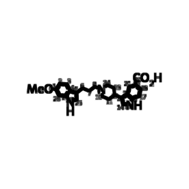 COc1ccc2c(CCCN3CCC(c4c[nH]c5ccc(C(=O)O)cc45)CC3)c[nH]c2c1